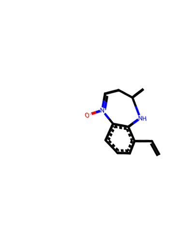 C=Cc1cccc2c1NC(C)CC=[N+]2[O-]